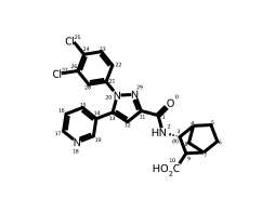 O=C(N[C@@H]1C2CCC(C2)C1C(=O)O)c1cc(-c2cccnc2)n(-c2ccc(Cl)c(Cl)c2)n1